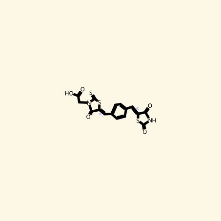 O=C(O)CN1C(=O)/C(=C/c2ccc(/C=C3\SC(=O)NC3=O)cc2)SC1=S